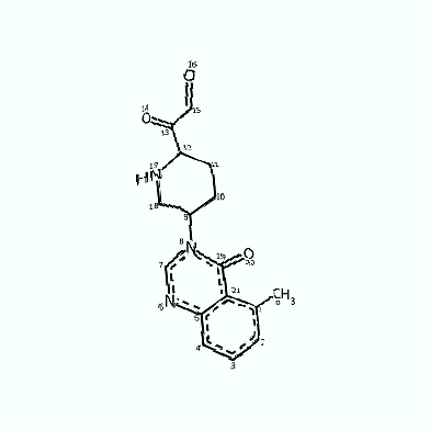 Cc1cccc2ncn(C3CCC(C(=O)C=O)NC3)c(=O)c12